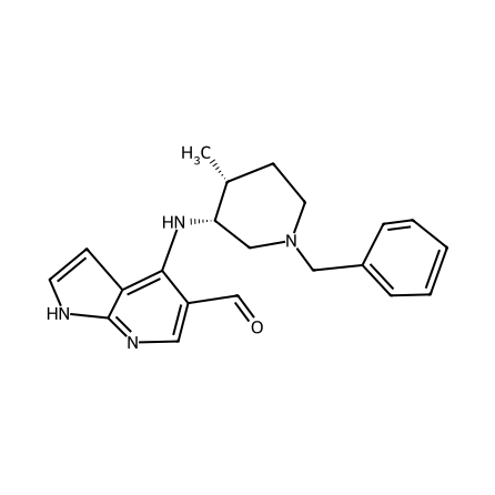 C[C@@H]1CCN(Cc2ccccc2)C[C@@H]1Nc1c(C=O)cnc2[nH]ccc12